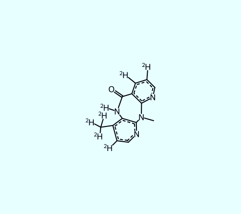 [2H]c1cnc2c(c1[2H])C(=O)N([2H])c1c(ncc([2H])c1C([2H])([2H])[2H])N2C